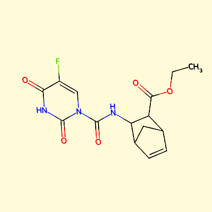 CCOC(=O)C1C2C=CC(C2)C1NC(=O)n1cc(F)c(=O)[nH]c1=O